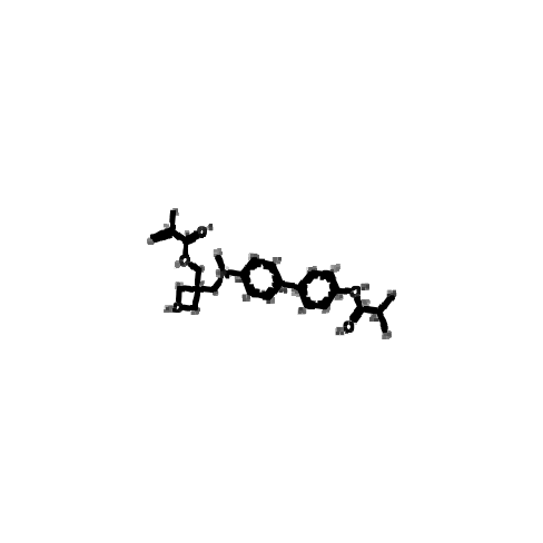 C=C(C)C(=O)OCC1(CN(C)c2ccc(-c3ccc(OC(=O)C(C)C)cc3)cc2)COC1